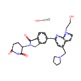 O=C1CCC(N2Cc3cc(-c4cc(CN5CCCC5)c5ccn(CCO)c5n4)ccc3C2=O)C(=O)N1.O=CO